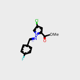 COC(=O)c1cc(Cl)cn1/N=C/c1ccc(F)cc1